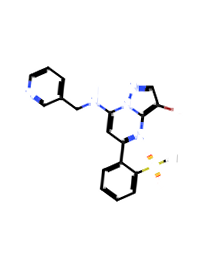 CS(=O)(=O)c1ccccc1-c1cc(NCc2cccnc2)n2ncc(Br)c2n1